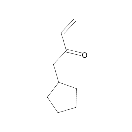 C=CC(=O)CC1CCCC1